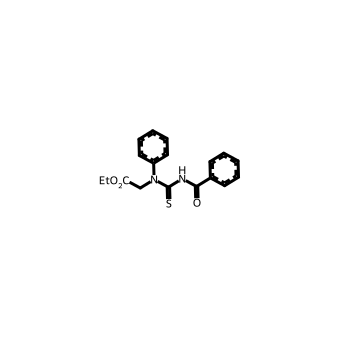 CCOC(=O)CN(C(=S)NC(=O)c1ccccc1)c1ccccc1